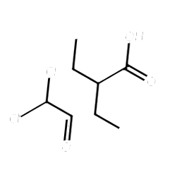 CCC(CC)C(=O)O.O=CC(Cl)Cl